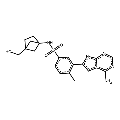 Cc1ccc(S(=O)(=O)NC23CCC(CO)(C2)C3)cc1-c1cn2c(N)ncnc2n1